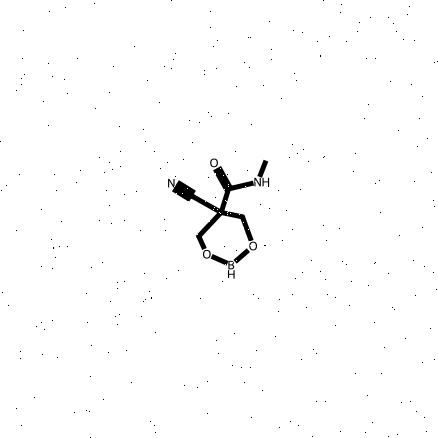 CNC(=O)C1(C#N)COBOC1